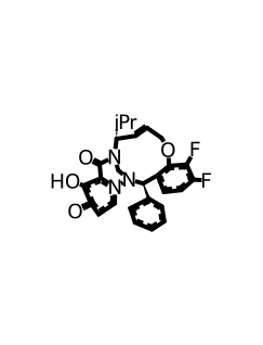 CC(C)[C@@H]1/C=C/COc2c(ccc(F)c2F)[C@@H](c2ccccc2)N2CN1C(=O)c1c(O)c(=O)ccn12